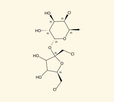 [CH2][C@H]1O[C@H](O[C@]2(CCl)O[C@@H](CCl)C(O)C2O)[C@H](O)[C@@H](O)[C@H]1Cl